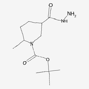 CC1CCC(C(=O)NN)CN1C(=O)OC(C)(C)C